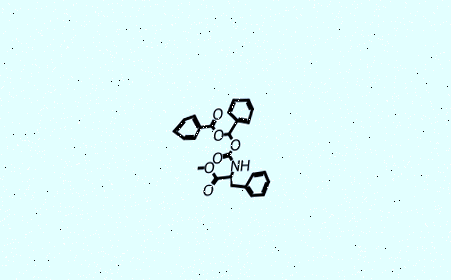 COC(=O)[C@H](Cc1ccccc1)NC(=O)OC(OC(=O)c1ccccc1)c1ccccc1